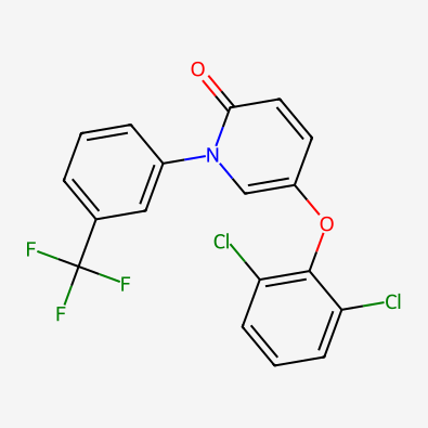 O=c1ccc(Oc2c(Cl)cccc2Cl)cn1-c1cccc(C(F)(F)F)c1